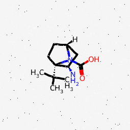 CC(C)(C)[C@@]12CC[C@H](C[C@H]1N)N2C(=O)O